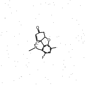 Cc1cc(F)c2c3c1OC1CC(=O)C=CC31CCN(C)C2